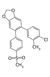 Cc1cc(-c2cc3c(cc2-c2ccc(S(C)(=O)=O)cc2)OCO3)ccc1Cl